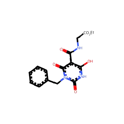 CCOC(=O)CNC(=O)c1c(O)[nH]c(=O)n(Cc2ccccc2)c1=O